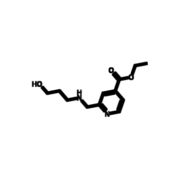 CCOC(=O)c1ccnc(CNCCCO)c1